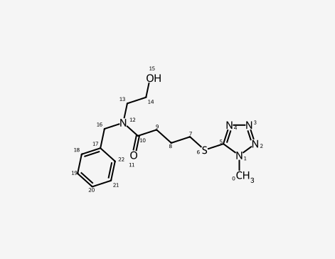 Cn1nnnc1SCCCC(=O)N(CCO)Cc1ccccc1